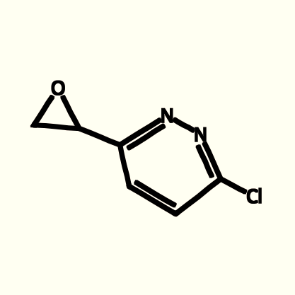 Clc1ccc(C2CO2)nn1